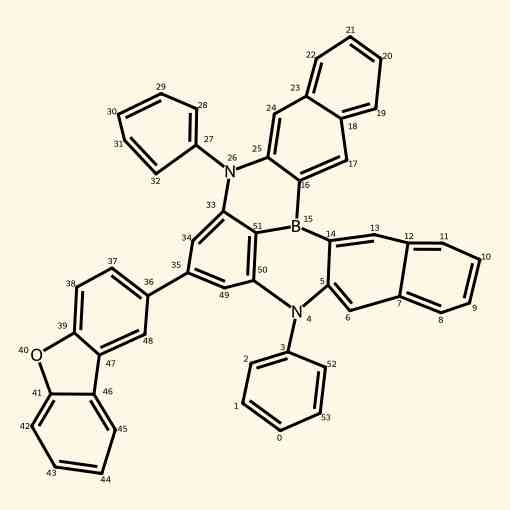 c1ccc(N2c3cc4ccccc4cc3B3c4cc5ccccc5cc4N(c4ccccc4)c4cc(-c5ccc6oc7ccccc7c6c5)cc2c43)cc1